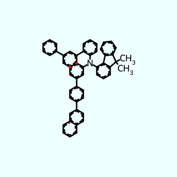 CC1(C)c2ccccc2-c2c(N(c3cccc(-c4ccc(-c5ccc6ccccc6c5)cc4)c3)c3ccccc3-c3cccc(-c4ccccc4)c3)cccc21